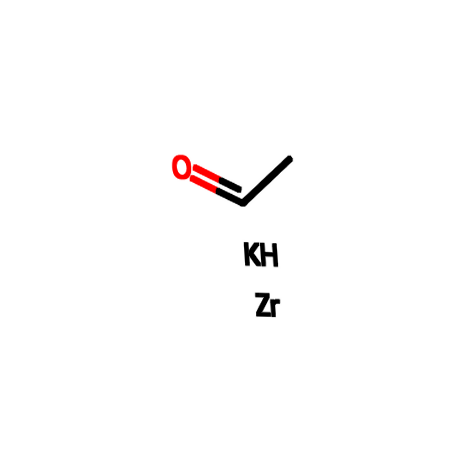 CC=O.[KH].[Zr]